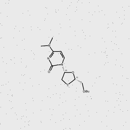 CC(C)COC[C@H]1O[C@@H](n2ccc(N(C)C)nc2=O)CS1